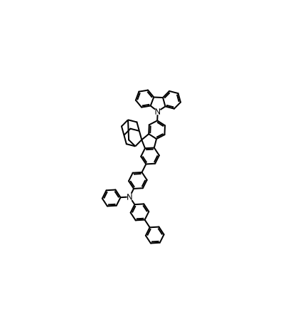 c1ccc(-c2ccc(N(c3ccccc3)c3ccc(-c4ccc5c(c4)C4(c6cc(-n7c8ccccc8c8ccccc87)ccc6-5)C5CC6CC(C5)CC4C6)cc3)cc2)cc1